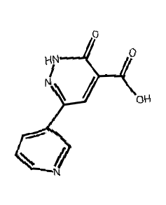 O=C(O)c1cc(-c2cccnc2)n[nH]c1=O